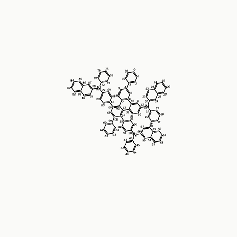 c1ccc(-c2ccc3c(c2)c2cc(N(c4ccccc4)c4ccc5ccccc5c4)ccc2c2c(-c4ccc(N(c5ccccc5)c5ccc6ccccc6c5)cc4)c(-c4ccccc4)cc(-c4ccc(N(c5ccccc5)c5ccc6ccccc6c5)cc4)c32)cc1